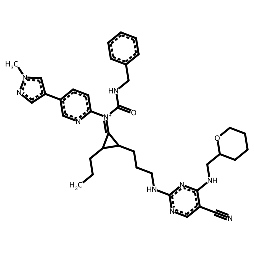 CCCC1/C(=[N+](/C(=O)NCc2ccccc2)c2ccc(-c3cnn(C)c3)cn2)C1CCCNc1ncc(C#N)c(NCC2CCCCO2)n1